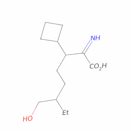 CCC(CO)CCC(C(=N)C(=O)O)C1CCC1